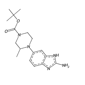 CC1CN(C(=O)OC(C)(C)C)CCN1c1ccc2nc(N)[nH]c2c1